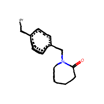 CC(C)Cc1ccc(CN2CCCCC2=O)cc1